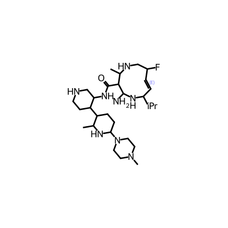 CC(C)C1/C=C/C(F)CNC(C)C(C(=O)NC2CNCCC2C2CCC(N3CCN(C)CC3)NC2C)C(N)N1